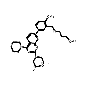 CCOCCCNCc1cc(-c2ccc3c(N4CCOCC4)nc(N4C[C@@H](C)O[C@@H](C)C4)nc3n2)ccc1OC